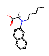 CCCCCN(c1ccc2ccccc2c1)[C@@H](C)C(=O)O